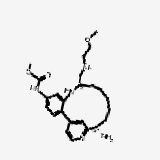 COCCNC[C@H]1CCCCC[C@H](N)c2cc(ccn2)-c2ccc(NC(=O)OC)cc2N1